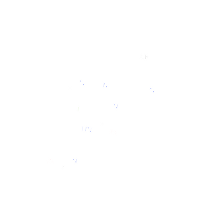 CN(c1cc(C(=O)NCCN2CCOC2=O)nc(-c2cncc(C(F)(F)F)c2)n1)c1ccc(F)cc1F